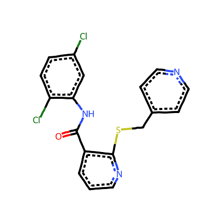 O=C(Nc1cc(Cl)ccc1Cl)c1cccnc1SCc1ccncc1